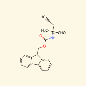 C#CC[C@](C)(C=O)NC(=O)OCC1c2ccccc2-c2ccccc21